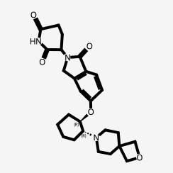 O=C1CCC(N2Cc3cc(O[C@@H]4CCCC[C@H]4N4CCC5(CC4)COC5)ccc3C2=O)C(=O)N1